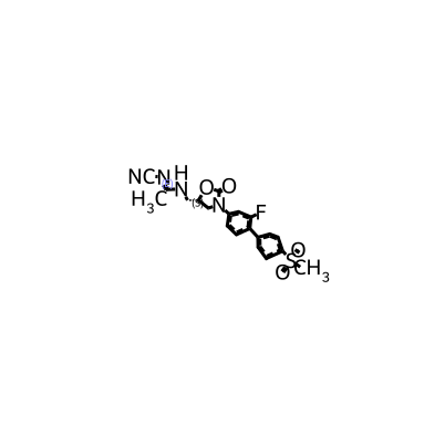 C/C(=N\C#N)NC[C@H]1CN(c2ccc(-c3ccc(S(C)(=O)=O)cc3)c(F)c2)C(=O)O1